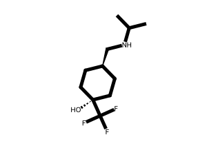 CC(C)NC[C@H]1CC[C@@](O)(C(F)(F)F)CC1